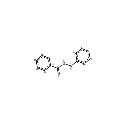 O=C(ONc1ncccn1)c1ccccc1